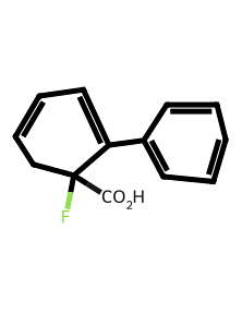 O=C(O)C1(F)CC=CC=C1c1ccccc1